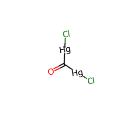 O=[C]([Hg][Cl])[Hg][Cl]